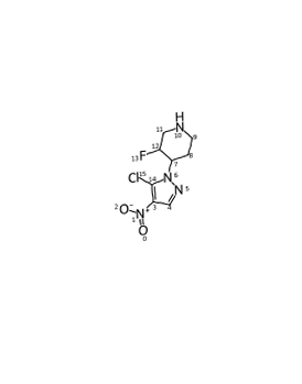 O=[N+]([O-])c1cnn(C2CCNCC2F)c1Cl